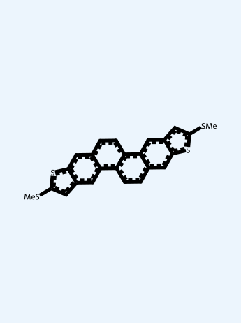 CSc1cc2cc3c(ccc4c5cc6cc(SC)sc6cc5ccc34)cc2s1